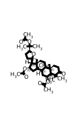 CC(=O)O[C@H]1C[C@@]2(C)[C@@H]3C[C@H](OC(C)=O)[C@H]4C(C)(C)C(=O)CC[C@@]45C[C@@]35CC[C@@]23C[C@@]2(CC[C@@H](C(C)(C)OC(C)=O)O2)[C@@H]13